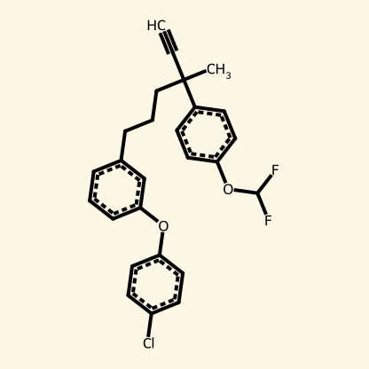 C#CC(C)(CCCc1cccc(Oc2ccc(Cl)cc2)c1)c1ccc(OC(F)F)cc1